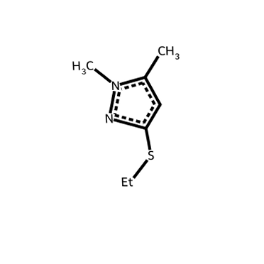 CCSc1cc(C)n(C)n1